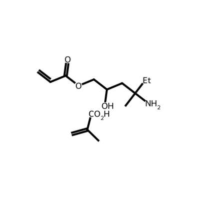 C=C(C)C(=O)O.C=CC(=O)OCC(O)CC(C)(N)CC